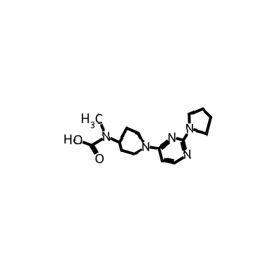 CN(C(=O)O)C1CCN(c2ccnc(N3CCCC3)n2)CC1